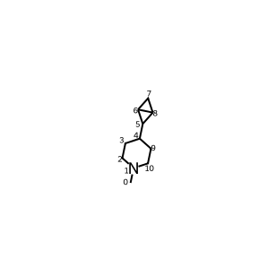 CN1CCC(C2C3CC32)CC1